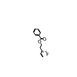 C=C[C@@H](CF)CCOC(=O)c1ccccc1